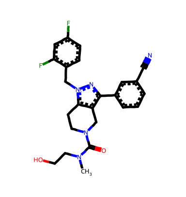 CN(CCO)C(=O)N1CCc2c(c(-c3cccc(C#N)c3)nn2Cc2ccc(F)cc2F)C1